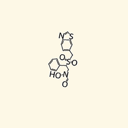 O=CN(O)CC(c1ccccc1)S(=O)(=O)Cc1ccc2ncsc2c1